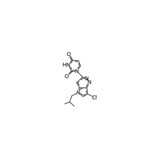 CC(C)Cn1cc(Cl)c2nnc(-n3ccc(=O)[nH]c3=O)cc21